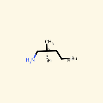 CC[C@H](C)CC[C@](C)(CN)C(C)C